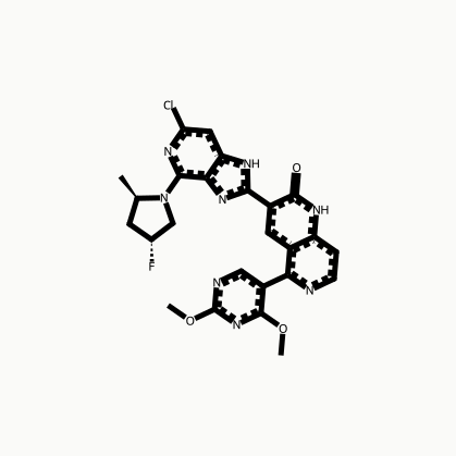 COc1ncc(-c2nccc3[nH]c(=O)c(-c4nc5c(N6C[C@H](F)C[C@H]6C)nc(Cl)cc5[nH]4)cc23)c(OC)n1